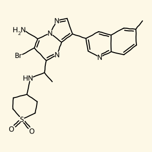 Cc1ccc2ncc(-c3cnn4c(N)c(Br)c(C(C)NC5CCS(=O)(=O)CC5)nc34)cc2c1